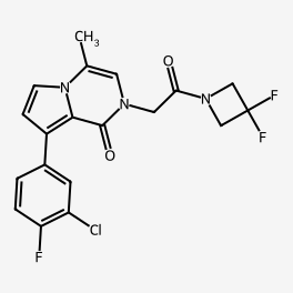 Cc1cn(CC(=O)N2CC(F)(F)C2)c(=O)c2c(-c3ccc(F)c(Cl)c3)ccn12